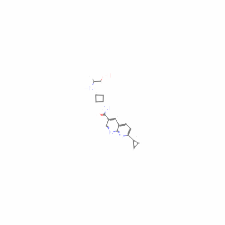 O=C(N[C@H]1C[C@@H](NC(CO)C(F)(F)F)C1)c1cnc2nc(C3CC3)ccc2c1